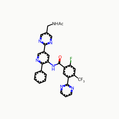 CC(=O)NCc1cnc(-c2cnc(-c3ccccc3)c(NC(=O)c3cc(-c4ncccn4)c(C(F)(F)F)cc3F)c2)nc1